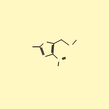 COCc1[nH]c(C)nc1[N+](=O)[O-]